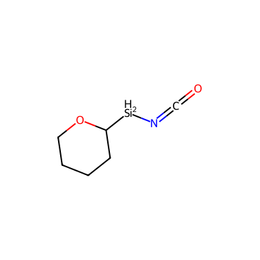 O=C=N[SiH2]C1CCCCO1